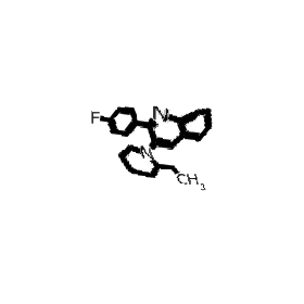 CCC1CCCCN1c1cc2ccccc2nc1-c1ccc(F)cc1